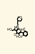 O=c1c(O)c(-c2c(F)cccc2F)[nH]c2c1c(CO)nn2CCC1CCOCC1